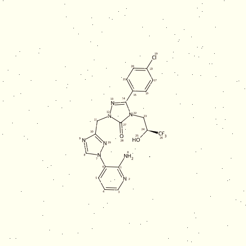 Nc1ncccc1-n1cnc(Cn2nc(-c3ccc(Cl)cc3)n(C[C@H](O)C(F)(F)F)c2=O)n1